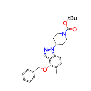 Cc1ccc2c(cnn2C2CCN(C(=O)OC(C)(C)C)CC2)c1OCc1ccccc1